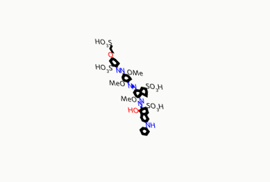 COc1cc(N=Nc2cc(OC)c(N=Nc3c(S(=O)(=O)O)cc4cc(Nc5ccccc5)ccc4c3O)c3ccc(S(=O)(=O)O)cc23)c(OC)cc1N=Nc1ccc(OCCCS(=O)(=O)O)cc1S(=O)(=O)O